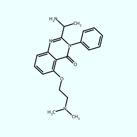 CC(N)c1nc2cccc(OCCN(C)C)c2c(=O)n1-c1ccccc1